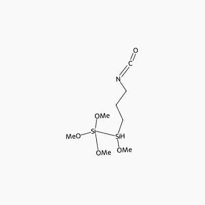 CO[SiH](CCCN=C=O)[Si](OC)(OC)OC